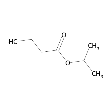 [CH]CCC(=O)OC(C)C